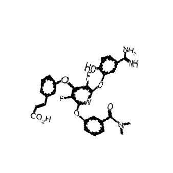 CN(C)C(=O)c1cccc(Oc2nc(Oc3cc(C(=N)N)ccc3O)c(F)c(Oc3cccc(C=CC(=O)O)c3)c2F)c1